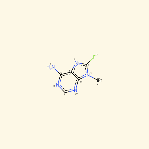 CC(C)n1c(F)nc2c(N)ncnc21